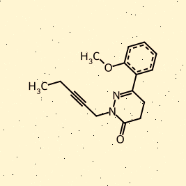 CCC#CCN1N=C(c2ccccc2OC)CCC1=O